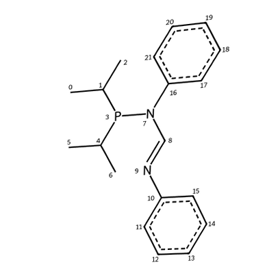 CC(C)P(C(C)C)N(/C=N/c1ccccc1)c1ccccc1